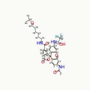 CC(=O)Nc1ccc2c(c1)Oc1cc(NC(O)C(F)(F)F)ccc1C21OC(=O)c2ccc(C(=O)NCCCCCCOC(C)C)cc21